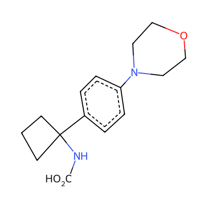 O=C(O)NC1(c2ccc(N3CCOCC3)cc2)CCC1